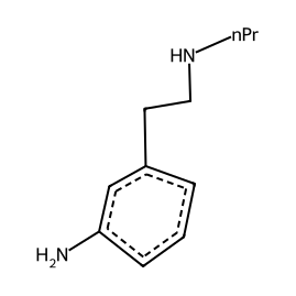 CCCNCCc1cccc(N)c1